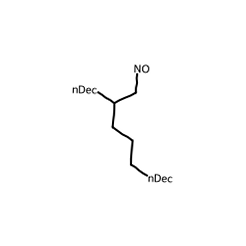 CCCCCCCCCCCCCC(CCCCCCCCCC)CN=O